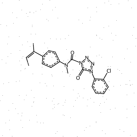 C/C=C(/C)c1ccc(N(C)C(=O)n2nnn(-c3ccccc3Cl)c2=O)cc1